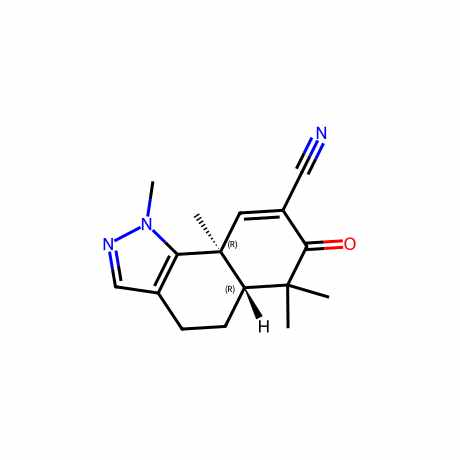 Cn1ncc2c1[C@@]1(C)C=C(C#N)C(=O)C(C)(C)[C@@H]1CC2